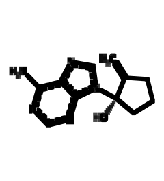 C=C1CCC[C@@]1(O)n1cnc2c(N)ncnc21